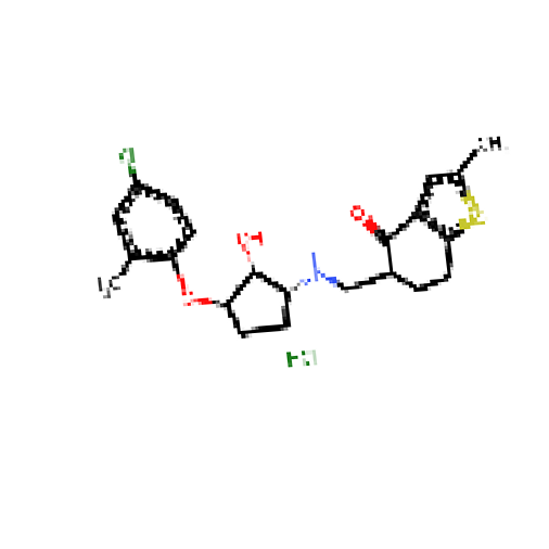 Cc1cc2c(s1)CCC(CN[C@@H]1CC[C@@H](Oc3ccc(Cl)cc3C)[C@@H]1O)C2=O.Cl